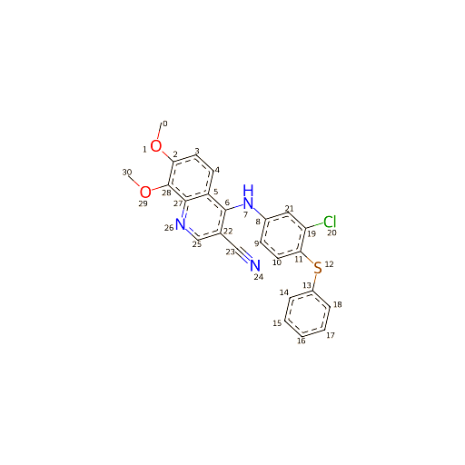 COc1ccc2c(Nc3ccc(Sc4ccccc4)c(Cl)c3)c(C#N)cnc2c1OC